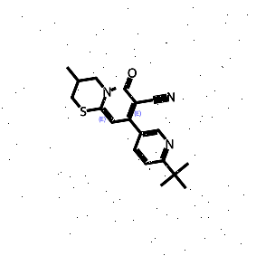 CC1CS/C(=C/C(=C(/C#N)C=O)c2ccc(C(C)(C)C)nc2)N(C)C1